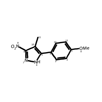 COc1ccc(-c2[nH]nc([N+](=O)[O-])c2C)cc1